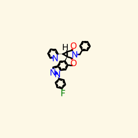 Cc1cc2c(cnn2-c2ccc(F)cc2)cc1[C@]12C(=O)N(Cc3ccccc3)C(=O)[C@H]1[C@H]2c1ccccn1